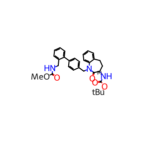 COC(=O)NCc1ccccc1-c1ccc(CN2C(=O)[C@H](NC(=O)OC(C)(C)C)CCc3ccccc32)cc1